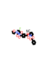 N#Cc1ccc(OC(=O)c2ccccc2)nc1OC(=O)c1ccc(C(=O)n2c(=O)c(F)cn(C3CCCO3)c2=O)cc1